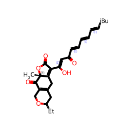 CCC(C)/C=C/C=C/C=C/C(=O)/C=C(\O)C1=C2CC3=C(COC(CC)C3)C(=O)[C@]2(C)OC1=O